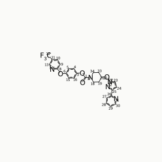 O=C(Oc1ccc(Oc2ccc(C(F)(F)F)cn2)cc1)N1CCC(On2ccc(-c3ccccn3)n2)CC1